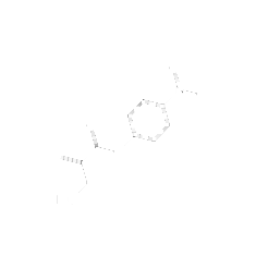 C=C(CO)C(=O)Oc1ccc([N+](=O)[O-])cc1